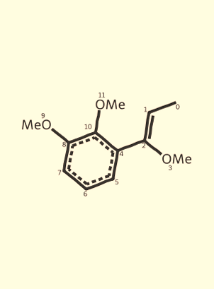 CC=C(OC)c1cccc(OC)c1OC